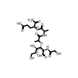 CC(NC(=O)C(C)O[C@@H]([C@H](O)[C@H](O)CO)[C@H](C=O)NC(=O)CO)C(=O)NC(CCC(=O)O)C(N)=O